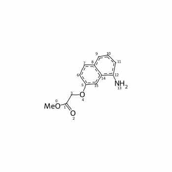 COC(=O)COc1ccc2cccc(N)c2c1